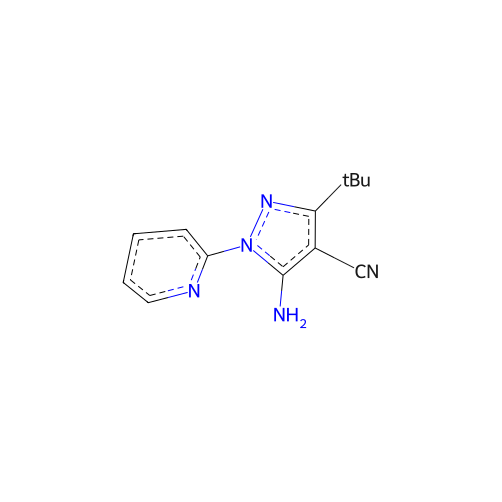 CC(C)(C)c1nn(-c2ccccn2)c(N)c1C#N